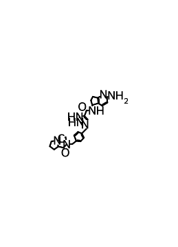 Nc1ccc2c(n1)CCC2NC(=O)C1=CN(Cc2ccc(CN3CCN4CCCC4C3=O)cc2)NN1